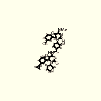 CNc1nc(=O)n(-c2ccc(CNc3nc(=O)n(-c4cccnc4)c4c3oc3ccc(C5CC5)cc34)cc2Cl)c2c1oc1ccc(Cl)cc12